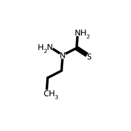 CCCN(N)C(N)=S